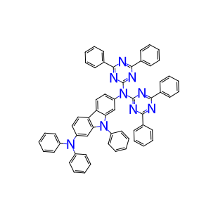 c1ccc(-c2nc(-c3ccccc3)nc(N(c3ccc4c5ccc(N(c6ccccc6)c6ccccc6)cc5n(-c5ccccc5)c4c3)c3nc(-c4ccccc4)nc(-c4ccccc4)n3)n2)cc1